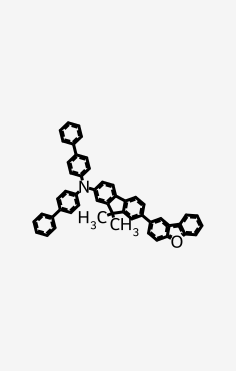 CC1(C)c2cc(-c3ccc4oc5ccccc5c4c3)ccc2-c2ccc(N(c3ccc(-c4ccccc4)cc3)c3ccc(-c4ccccc4)cc3)cc21